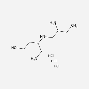 CCC(N)CNC(CN)CCO.Cl.Cl.Cl